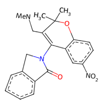 CNCC1=C(N2Cc3ccccc3C2=O)c2cc([N+](=O)[O-])ccc2OC1(C)C